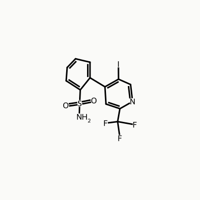 NS(=O)(=O)c1ccccc1-c1cc(C(F)(F)F)ncc1I